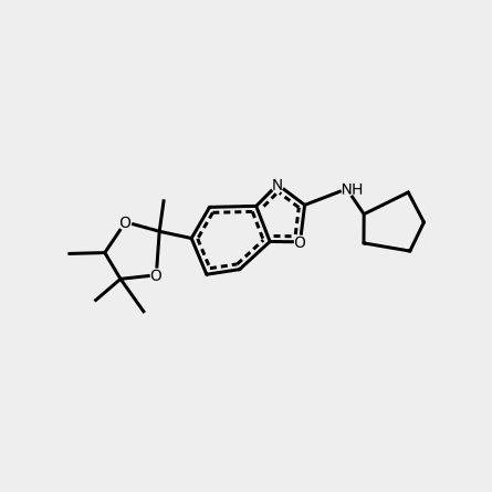 CC1OC(C)(c2ccc3oc(NC4CCCC4)nc3c2)OC1(C)C